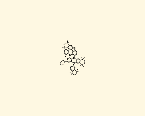 Cc1ccccc1N1c2cc(C3CCCCC3)cc3c2B(c2cc4c(cc2N3c2ccc3c(c2)C(C)(C)CCC3(C)C)C(C)(C)CCC4(C)C)c2ccc3sc4cc5c(cc4c3c21)C(C)(C)CCC5(C)C